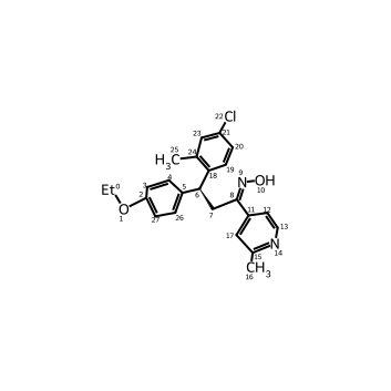 CCOc1ccc([C@H](C/C(=N/O)c2ccnc(C)c2)c2ccc(Cl)cc2C)cc1